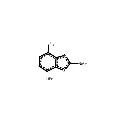 Br.CNc1nc2c(C)cccc2s1